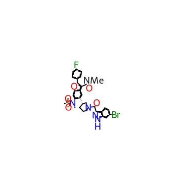 CNC(=O)c1c(-c2ccc(F)cc2)oc2cc(N(C)S(C)(=O)=O)c([C@H]3CCCN(C(=O)c4n[nH]c5cc(Br)ccc45)C3)cc12